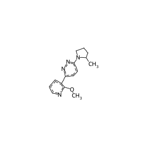 COc1ncccc1-c1ccc(N2CCCC2C)nn1